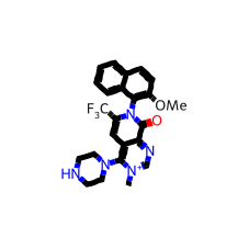 COc1ccc2ccccc2c1-n1c(C(F)(F)F)cc2c(N3CCNCC3)[n+](C)cnc2c1=O